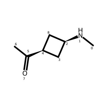 CN[C@H]1C[C@@H](C(C)=O)C1